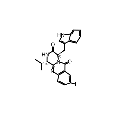 CC(C)[C@@H]1NC(=O)[C@@H](Cc2c[nH]c3ccccc23)n2c1nc1ccc(I)cc1c2=O